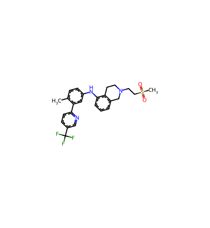 Cc1ccc(Nc2cccc3c2CCN(CCS(C)(=O)=O)C3)cc1-c1ccc(C(F)(F)F)cn1